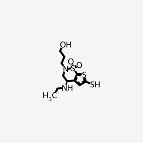 CCN[C@H]1CN(CCCO)S(=O)(=O)c2sc(S)cc21